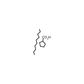 CCCCCCCCCC.O=C(O)C1CCCC1